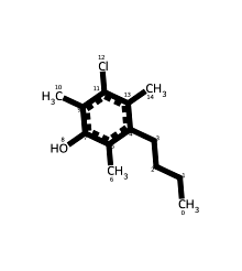 CCCCc1c(C)c(O)c(C)c(Cl)c1C